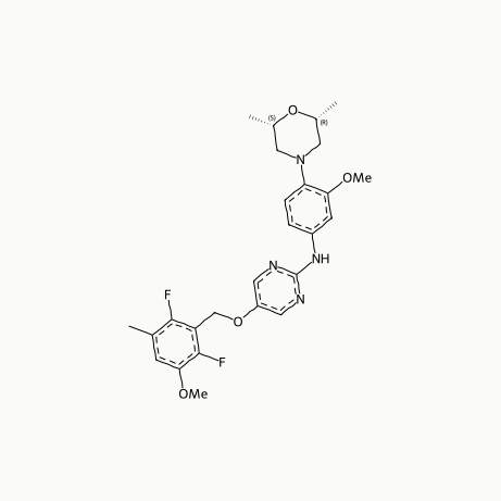 COc1cc(Nc2ncc(OCc3c(F)c(C)cc(OC)c3F)cn2)ccc1N1C[C@@H](C)O[C@@H](C)C1